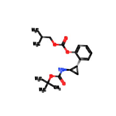 CC(C)COC(=O)Oc1ccccc1[C@@H]1C[C@H]1NC(=O)OC(C)(C)C